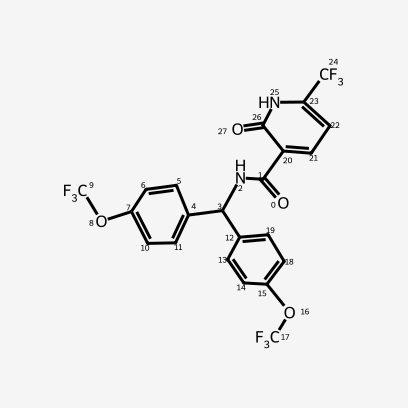 O=C(NC(c1ccc(OC(F)(F)F)cc1)c1ccc(OC(F)(F)F)cc1)c1ccc(C(F)(F)F)[nH]c1=O